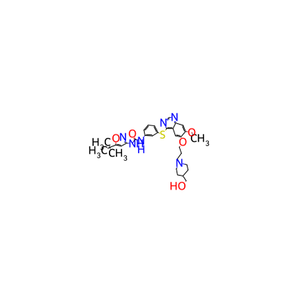 COc1cc2ncnc(Sc3cccc(NC(=O)Nc4cc(C(C)(C)C)on4)c3)c2cc1OCCCN1CCC(CO)CC1